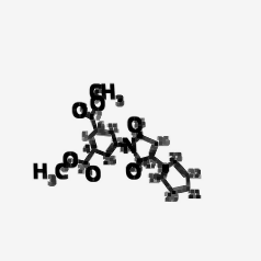 COC(=O)c1cc(C(=O)OC)cc(N2C(=O)C=C(c3ccccc3)C2=O)c1